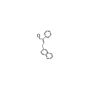 O=CC(=CCc1ccc2ccccc2c1)c1ccccc1